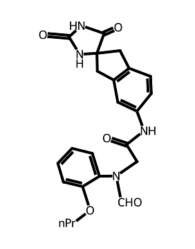 CCCOc1ccccc1N(C=O)CC(=O)Nc1ccc2c(c1)CC1(C2)NC(=O)NC1=O